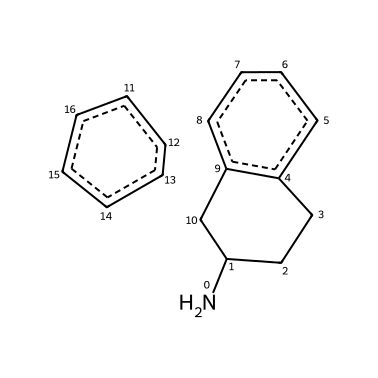 NC1CCc2ccccc2C1.c1ccccc1